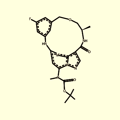 C[C@@H]1COCc2cc(F)cc(c2)Nc2cc(N(C)C(=O)OC(C)(C)C)n3ncc(c3n2)C(=O)N1